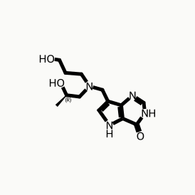 C[C@@H](O)CN(CCCO)Cc1c[nH]c2c(=O)[nH]cnc12